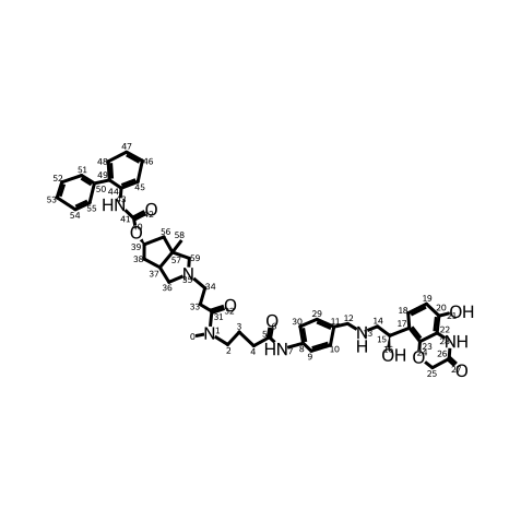 CN(CCCC(=O)Nc1ccc(CNC[C@H](O)c2ccc(O)c3c2OCC(=O)N3)cc1)C(=O)CCN1CC2C[C@@H](OC(=O)Nc3ccccc3-c3ccccc3)CC2(C)C1